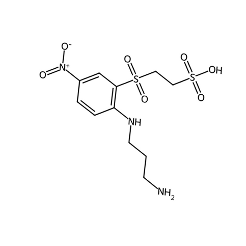 NCCCNc1ccc([N+](=O)[O-])cc1S(=O)(=O)CCS(=O)(=O)O